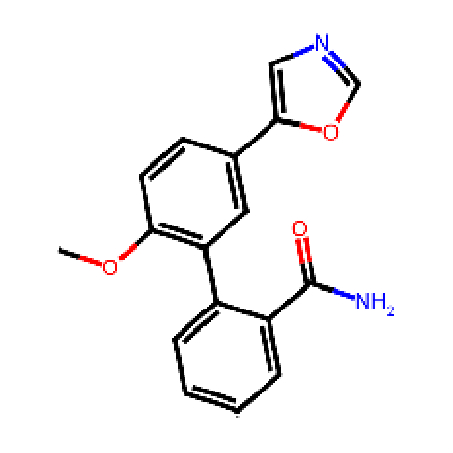 COc1ccc(-c2cnco2)cc1-c1cc[c]cc1C(N)=O